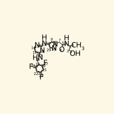 C[C@@H](CO)NC(=O)Cn1cc(Nc2nccc(NCc3c(F)cc(F)cc3F)n2)cn1